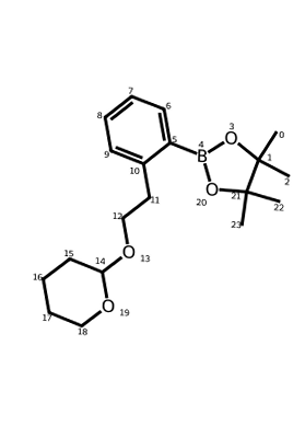 CC1(C)OB(c2ccccc2CCOC2CCCCO2)OC1(C)C